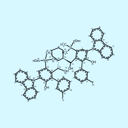 CCCCCCCCCC[Si](C)(C)c1cc(-n2c3ccccc3c3ccccc32)c(O)c(-c2cccc(F)c2)c1C(O)[C@@H]1CCCC[C@H]1C(O)c1c([Si](C)(C)CCCCCCCCCC)cc(-n2c3ccccc3c3ccccc32)c(O)c1-c1cccc(F)c1